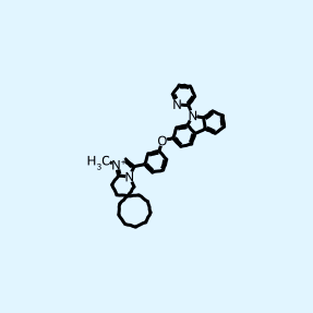 C[n+]1cc(-c2cccc(Oc3ccc4c5ccccc5n(-c5ccccn5)c4c3)c2)n2c1CCC1(CCCCCCCC1)C2